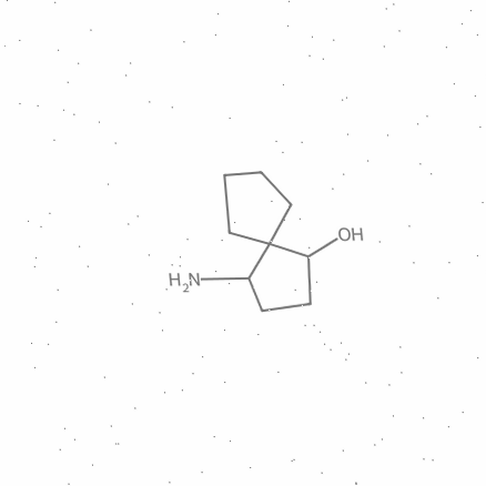 NC1CCC(O)C12CCCC2